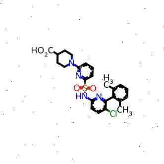 Cc1cccc(C)c1-c1nc(NS(=O)(=O)c2cccc(N3CCC(C(=O)O)CC3)n2)ccc1Cl